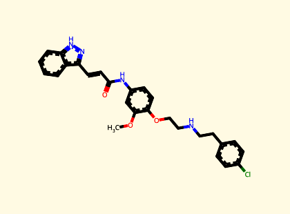 COc1cc(NC(=O)C=Cc2n[nH]c3ccccc23)ccc1OCCNCCc1ccc(Cl)cc1